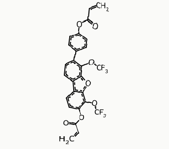 C=CC(=O)Oc1ccc(-c2ccc3c(oc4c(OC(F)(F)F)c(OC(=O)C=C)ccc43)c2OC(F)(F)F)cc1